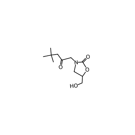 CC(C)(C)CC(=O)CN1CC(CO)OC1=O